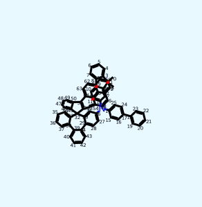 CC1(C)c2ccccc2-c2ccc(N(c3ccc(-c4ccccc4)cc3)c3ccc4c(c3)C3(c5ccccc5-c5ccccc5-4)c4ccccc4-c4c3cc3ccc5cccc6ccc4c3c56)cc21